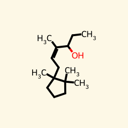 CCC(O)C(C)=CCC1(C)CCCC1(C)C